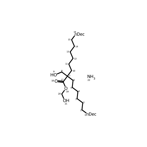 CCCCCCCCCCCCCCCCC(CO)(CCCCCCCCCCCCCCCC)C(=O)OCO.N